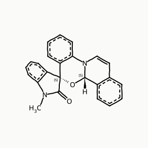 CN1C(=O)[C@@]2(O[C@H]3c4ccccc4C=CN3c3ccccc32)c2ccccc21